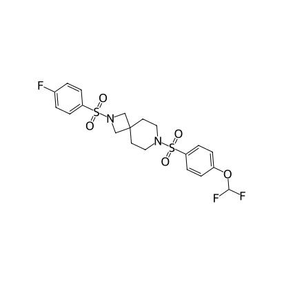 O=S(=O)(c1ccc(OC(F)F)cc1)N1CCC2(CC1)CN(S(=O)(=O)c1ccc(F)cc1)C2